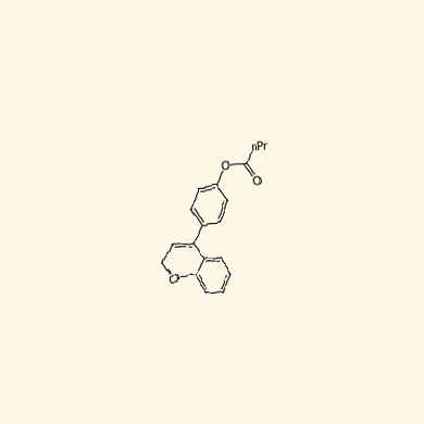 CCCC(=O)Oc1ccc(C2=CCOc3ccccc32)cc1